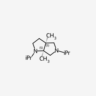 CC(C)N1C[C@]2(C)CCN(C(C)C)[C@]2(C)C1